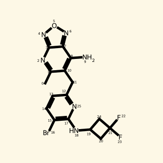 Cc1nc2nonc2c(N)c1Cc1ccc(Br)c(NC2CC(F)(F)C2)n1